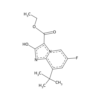 CCOC(=O)c1c(O)nc2c(C(C)(C)C)cc(F)cn12